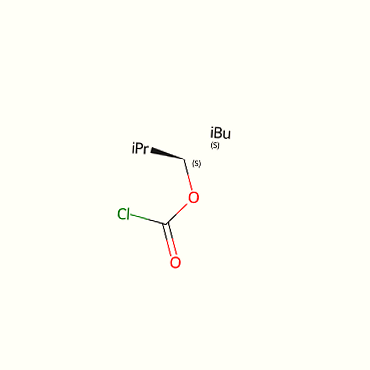 CC[C@H](C)[C@@H](OC(=O)Cl)C(C)C